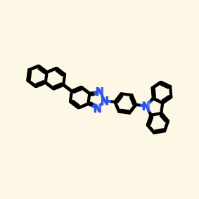 c1ccc2cc(-c3ccc4nn(-c5ccc(-n6c7ccccc7c7ccccc76)cc5)nc4c3)ccc2c1